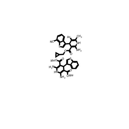 CC(=O)C1=C(C)NC(N)=C(C(=O)OCC2CC2)C1c1csc2c(C#N)cccc12.COC(=O)C1=C(N)NC(N)=C(C(=O)OC)C1c1csc2ccccc12